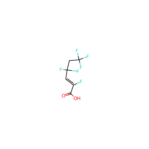 O=C(O)C(F)=CC(F)(F)CC(F)(F)F